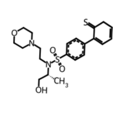 C[C@H](CO)N(CCN1CCOCC1)S(=O)(=O)c1ccc(C2=CC=CCC2=S)cc1